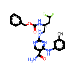 N#Cc1cccc(Nc2nc(NC[C@H](CC(F)F)NC(=O)OCc3ccccc3)ncc2C(N)=O)c1